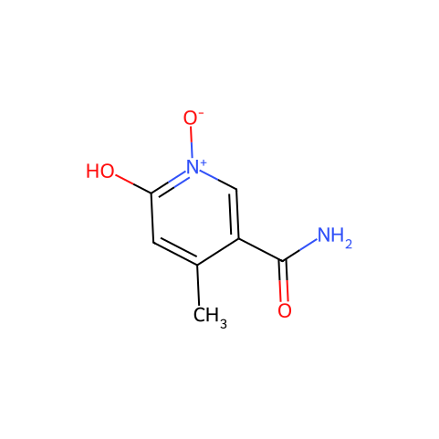 Cc1cc(O)[n+]([O-])cc1C(N)=O